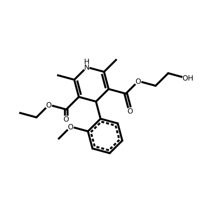 CCOC(=O)C1=C(C)NC(C)=C(C(=O)OCCO)C1c1ccccc1OC